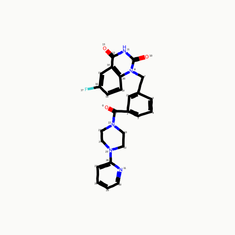 O=C(c1cccc(Cn2c(=O)[nH]c(=O)c3cc(F)ccc32)c1)N1CCN(c2ccccn2)CC1